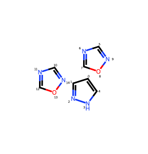 c1cn[nH]c1.c1ncon1.c1ncon1